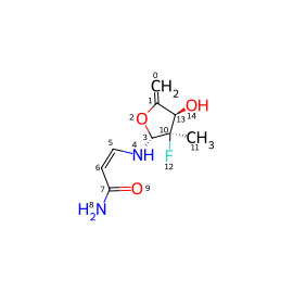 C=C1O[C@@H](N/C=C\C(N)=O)[C@](C)(F)[C@@H]1O